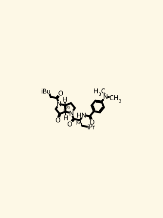 CCC(C)CC(=O)N1CC(=O)[C@@H]2[C@H]1CCN2C(=O)[C@H](CC(C)C)NC(=O)c1ccc(N(C)C)cc1